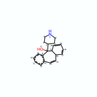 OC1(C2CCNCC2)c2ccccc2C=CC2C=CC=CC21